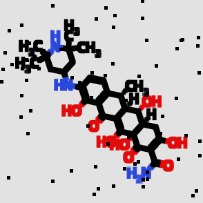 C[C@H]1c2ccc(NC3CC(C)(C)NC(C)(C)C3)c(O)c2C(=O)C2=C(O)[C@]3(O)C(=O)C(C(N)=O)=C(O)C[C@@H]3[C@@H](O)[C@@H]21